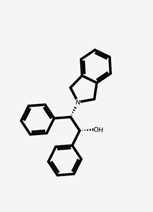 O[C@H](c1ccccc1)[C@H](c1ccccc1)N1Cc2ccccc2C1